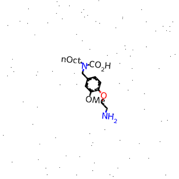 CCCCCCCCN(Cc1ccc(OCCN)c(OC)c1)C(=O)O